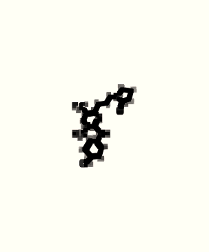 NN1CC(C(F)(F)F)=C(CCCN2CCCC2=O)N=C1Nc1ccc(Cl)cc1